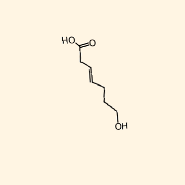 O=C(O)CC=CCCCO